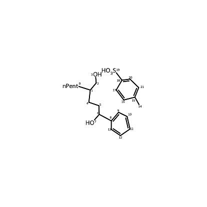 CCCCCC(CO)CCC(O)c1ccccc1.Cc1ccc(S(=O)(=O)O)cc1